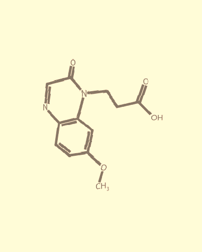 COc1ccc2ncc(=O)n(CCC(=O)O)c2c1